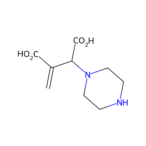 C=C(C(=O)O)C(C(=O)O)N1CCNCC1